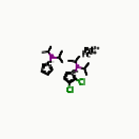 CC(C)P([c-]1ccc(Cl)c1Cl)C(C)C.CC(C)P([c-]1cccc1)C(C)C.[Fe+2].[Pd+2]